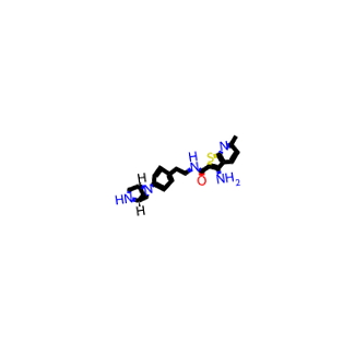 Cc1ccc2c(N)c(C(=O)NCCc3ccc(N4C[C@@H]5C[C@H]4CN5)cc3)sc2n1